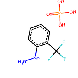 NNc1ccccc1C(F)(F)F.O=P(O)(O)O